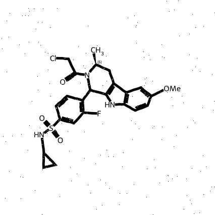 COc1ccc2[nH]c3c(c2c1)C[C@H](C)N(C(=O)CCl)C3c1ccc(S(=O)(=O)NC2CC2)cc1F